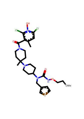 COCCONC(=O)N(Cc1ccsc1)C1CCN(C2(C)CCN(C(=O)c3c(C)cc(Cl)[n+](O)c3Cl)CC2)CC1